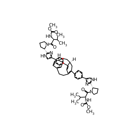 COC(=O)N[C@H](C(=O)N1CCC[C@H]1c1nc(-c2ccc(C3=CC4=C(c5ccc(-c6c[nH]c([C@@H]7CCCN7C(=O)[C@@H](NC(=O)OC)C(C)C)n6)cc5)C[C@@H]3CC[C@@H]3C=CC(=CC3)CC4)cc2)c[nH]1)C(C)C